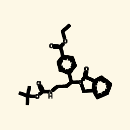 CCOC(=O)c1ccc(C(CCNC(=O)OC(C)(C)C)N2Cc3ccccc3C2=O)cc1